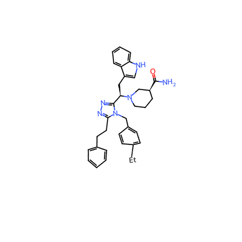 CCc1ccc(Cn2c(CCc3ccccc3)nnc2[C@@H](Cc2c[nH]c3ccccc23)N2CCC[C@H](C(N)=O)C2)cc1